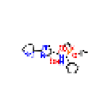 CC(C)OP(=O)(OC(C)C)C(NC(=O)c1cnc(-c2cccnn2)nc1O)c1ccccc1